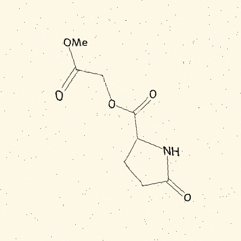 COC(=O)COC(=O)C1CCC(=O)N1